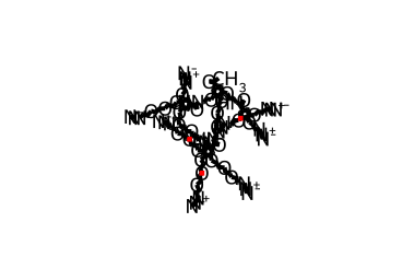 CC(=O)c1cc(OCCNC(=O)c2cc(OCCN=[N+]=[N-])c(OCCN=[N+]=[N-])c(OCCN=[N+]=[N-])c2)c(OCCOCCOCCNC(=O)c2cc(OCCOCCOCCN=[N+]=[N-])c(OCCOCCOCCN=[N+]=[N-])c(OCCOCCOCCN=[N+]=[N-])c2)c(OCCNC(=O)c2cc(OCCN=[N+]=[N-])c(OCCOCCOCCN=[N+]=[N-])c(OCCOCCOCCN=[N+]=[N-])c2)c1